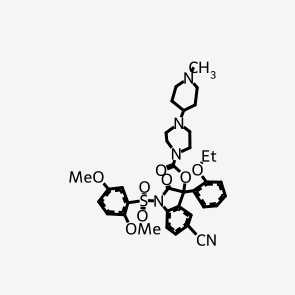 CCOc1ccccc1C1(OC(=O)N2CCN(C3CCN(C)CC3)CC2)C(=O)N(S(=O)(=O)c2cc(OC)ccc2OC)c2ccc(C#N)cc21